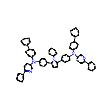 c1ccc(-c2ccc(N(c3ccc(-c4ccc(-c5ccc(N(c6ccc(-c7ccccc7)cc6)c6ccc(-c7ccccc7)nc6)cc5)n4-c4ccccc4)cc3)c3ccc(-c4ccccc4)nc3)cc2)cc1